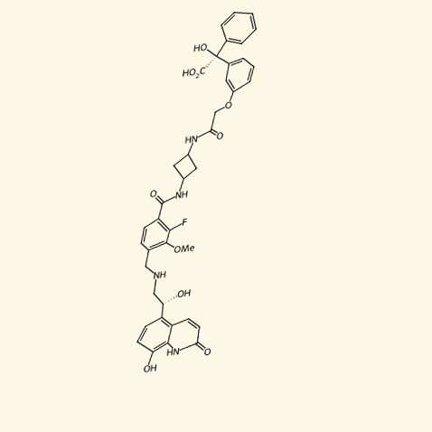 COc1c(CNC[C@H](O)c2ccc(O)c3[nH]c(=O)ccc23)ccc(C(=O)NC2CC(NC(=O)COc3cccc([C@](O)(C(=O)O)c4ccccc4)c3)C2)c1F